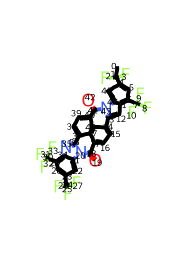 CC(F)(F)c1cc(C(F)(F)F)c2cc3c4ccc5c(=O)n6c7cc(C(F)(F)F)cc(C(F)(F)F)c7nc6c6ccc(c(=O)n3c2c1)c4c56